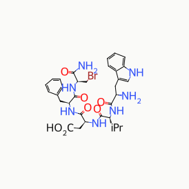 CC(C)[C@H](NC(=O)[C@H](N)Cc1c[nH]c2ccccc12)C(=O)N[C@@H](CC(=O)O)C(=O)N[C@@H](Cc1ccccc1)C(=O)N[C@H](CBr)C(N)=O